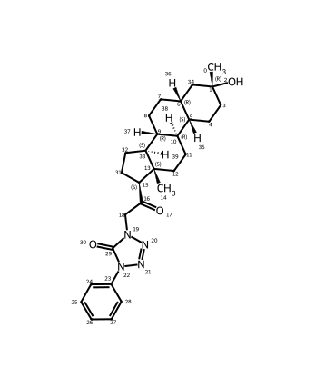 C[C@@]1(O)CC[C@H]2[C@H](CC[C@@H]3[C@@H]2CC[C@]2(C)[C@@H](C(=O)Cn4nnn(-c5ccccc5)c4=O)CC[C@@H]32)C1